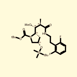 CO[C@H]([C@@H](C)C(=O)NCCc1c(F)cccc1F)[C@@H]1C[C@H](O[Si](C)(C)C(C)(C)C)CN1C(=O)OC(C)(C)C